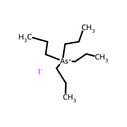 CCC[As+](CCC)(CCC)CCC.[I-]